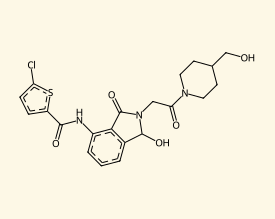 O=C(Nc1cccc2c1C(=O)N(CC(=O)N1CCC(CO)CC1)C2O)c1ccc(Cl)s1